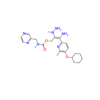 Cc1nc(/C(N)=C(\COC(=O)N(C)Cc2cnccn2)N(C)N)ccc1OC1CCCCC1